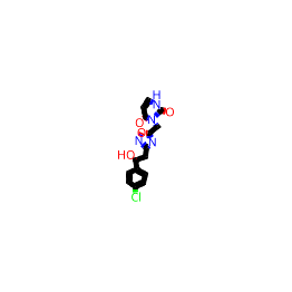 O=c1cc[nH]c(=O)n1Cc1nc(C[C@H](O)c2ccc(Cl)cc2)no1